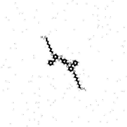 CCCCCCCCCCOc1ccc(OC(=O)c2ccc(C(=O)Oc3ccc(OCCCCCCCCCC)cc3Cc3ccccc3)cc2)c(Cc2ccccc2)c1